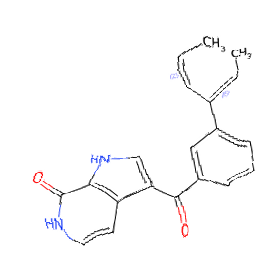 C/C=C\C(=C/C)c1cccc(C(=O)c2c[nH]c3c(=O)[nH]ccc23)c1